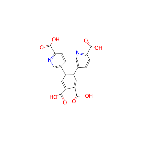 O=C(O)c1ccc(-c2cc(C(=O)O)c(C(=O)O)cc2-c2ccc(C(=O)O)nc2)cn1